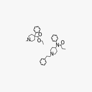 CCC(=O)N(c1ccccc1)C1CCN(CCc2ccccc2)CC1.CCOC(=O)C1(c2ccccc2)CCN(C)CC1